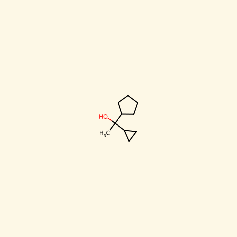 CC(O)(C1CCCC1)C1CC1